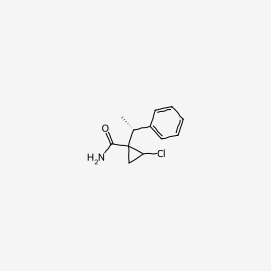 C[C@H](c1ccccc1)C1(C(N)=O)CC1Cl